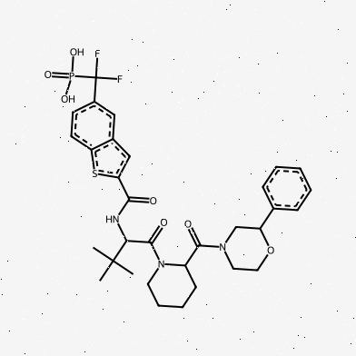 CC(C)(C)C(NC(=O)c1cc2cc(C(F)(F)P(=O)(O)O)ccc2s1)C(=O)N1CCCCC1C(=O)N1CCOC(c2ccccc2)C1